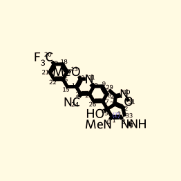 CN/C(=C\N=N)C(O)(c1ccc2nc(OC)c(Cc3ccc(C(F)(F)F)cc3)c(C#N)c2c1)c1c(C)noc1C